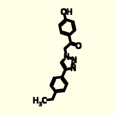 CCc1ccc(-c2cn(CC(=O)c3ccc(O)cc3)nn2)cc1